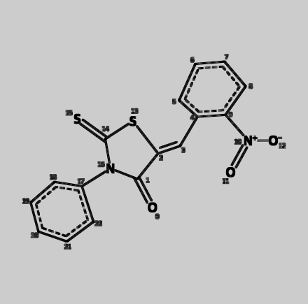 O=C1C(=Cc2ccccc2[N+](=O)[O-])SC(=S)N1c1ccccc1